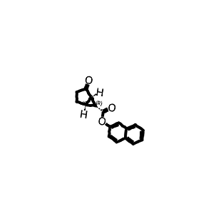 O=C1CC[C@H]2[C@@H]1[C@@H]2C(=O)Oc1ccc2ccccc2c1